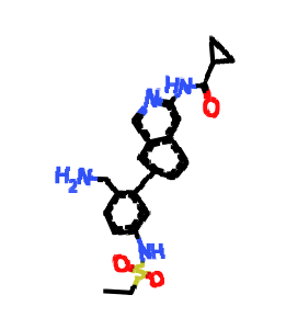 CCS(=O)(=O)Nc1ccc(CN)c(-c2ccc3cc(NC(=O)C4CC4)ncc3c2)c1